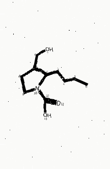 CCCCC1C(CO)CCN1C(=O)O